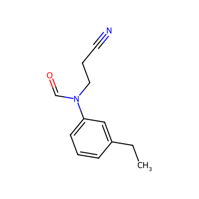 CCc1cccc(N(C=O)CCC#N)c1